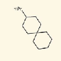 CC[CH]C1CCC2(CCCCC2)CC1